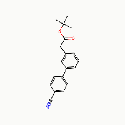 CC(C)(C)OC(=O)Cc1cccc(-c2ccc(C#N)cc2)c1